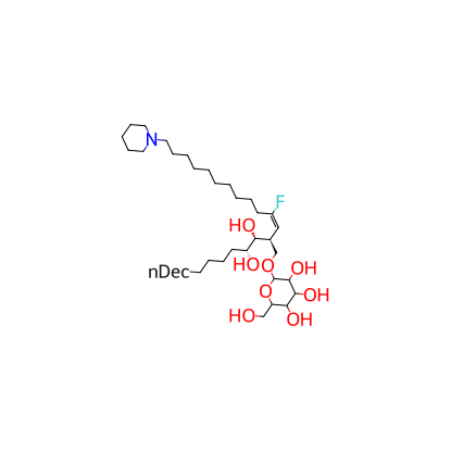 CCCCCCCCCCCCCC[C@@H](O)[C@@H](O)[C@@H](/C=C(/F)CCCCCCCCCCN1CCCCC1)COC1OC(CO)C(O)C(O)C1O